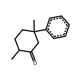 CC1CCC(C)(c2ccccc2)CC1=O